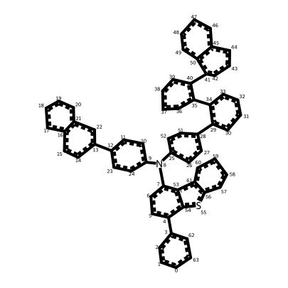 c1ccc(-c2ccc(N(c3ccc(-c4ccc5ccccc5c4)cc3)c3ccc(-c4ccccc4-c4ccccc4-c4cccc5ccccc45)cc3)c3c2sc2ccccc23)cc1